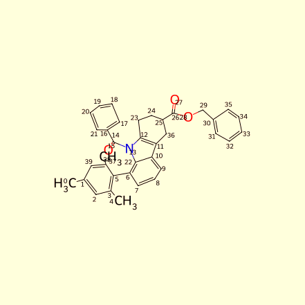 Cc1cc(C)c(-c2cccc3c4c(n(C(=O)c5ccccc5)c23)CCC(C(=O)OCc2ccccc2)C4)c(C)c1